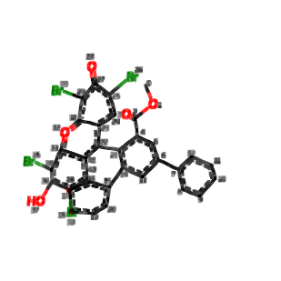 COC(=O)c1cc(-c2ccccc2)cc(-c2ccccc2)c1-c1c2cc(Br)c(=O)c(Br)c-2oc2c(Br)c(O)c(Br)cc12